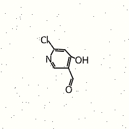 O=Cc1cnc(Cl)cc1O